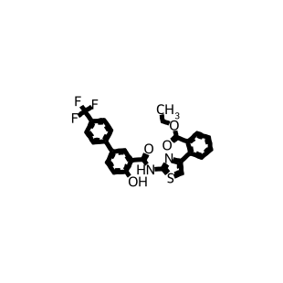 CCOC(=O)c1ccccc1-c1csc(NC(=O)c2cc(-c3ccc(C(F)(F)F)cc3)ccc2O)n1